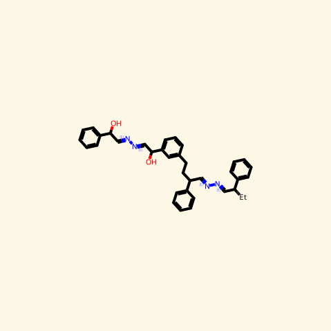 CCC(/C=N/N=C/C(CCc1cccc(C(O)/C=N/N=C/C(O)c2ccccc2)c1)c1ccccc1)c1ccccc1